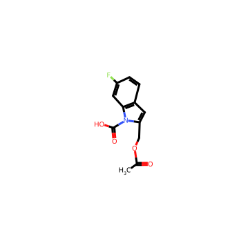 CC(=O)OCc1cc2ccc(F)cc2n1C(=O)O